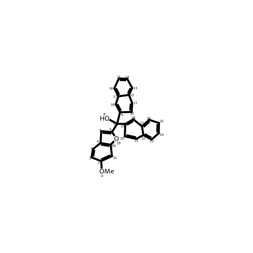 COc1ccc2cc(C(O)(c3ccc4ccccc4c3)c3ccc4ccccc4c3)oc2c1